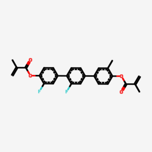 C=C(C)C(=O)Oc1ccc(-c2ccc(-c3ccc(OC(=O)C(=C)C)c(F)c3)c(F)c2)cc1C